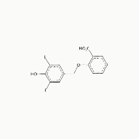 O=C(O)c1ccccc1OCc1cc(I)c(O)c(I)c1